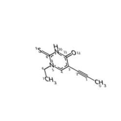 CC#Cc1cn(CC)c(=S)[nH]c1=O